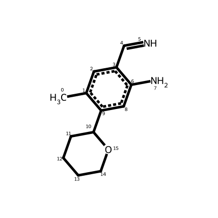 Cc1cc(C=N)c(N)cc1C1CCCCO1